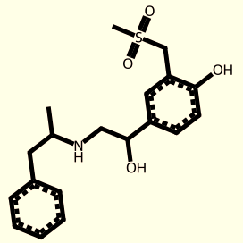 CC(Cc1ccccc1)NCC(O)c1ccc(O)c(CS(C)(=O)=O)c1